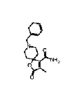 CC1=C(C(N)=O)C2(CCN(CC3=CC=CCC3)CC2)OC1=O